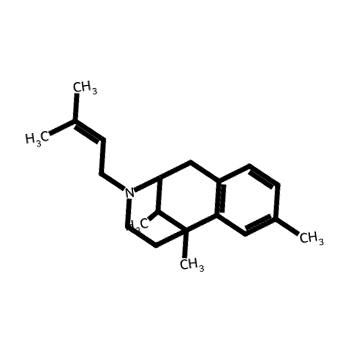 CC(C)=CCN1CCC2(C)c3cc(C)ccc3CC1C2C